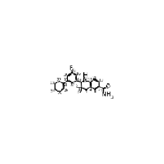 CC1(C)Cc2cc(C(N)=O)ccc2NC1c1cc(F)cc(C2CCCCC2)c1